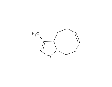 CC1=NOC2CCC=CCCC12